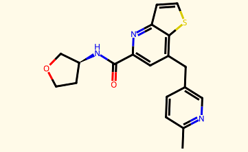 Cc1ccc(Cc2cc(C(=O)N[C@H]3CCOC3)nc3ccsc23)cn1